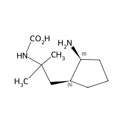 CC(C)(C[C@@H]1CCC[C@@H]1N)NC(=O)O